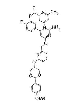 COc1ccc(C2OCC(Oc3cccc(COC4=NC(N)N(c5cc(C)nc(C(F)F)c5)C(c5ccc(F)cc5)=C4)n3)CO2)cc1